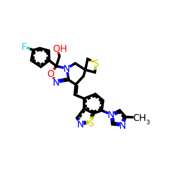 Cc1cn(-c2ccc(/C=C3\CC4(CSC4)CN4C3=NOC4(CO)c3ccc(F)cc3)c3cnsc23)cn1